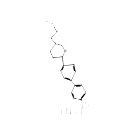 CCCCCCCCCOc1ccc(-c2ccc(C3CCC(CCC(C)C)CC3)cc2)cc1